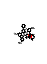 CC(C)(C)c1ccc(N2C3=C(B4c5c(cc6c(oc7ccccc76)c52)-c2cc(C(C)(C)C)cc5c6cc(C(C)(C)C)ccc6n4c25)C(C)(C)c2cc4c(cc23)C(C)(C)CCC4(C)C)c(-c2ccccc2)c1